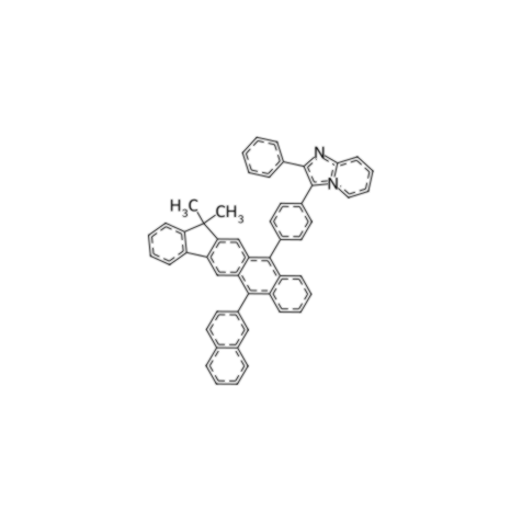 CC1(C)c2ccccc2-c2cc3c(-c4ccc5ccccc5c4)c4ccccc4c(-c4ccc(-c5c(-c6ccccc6)nc6ccccn56)cc4)c3cc21